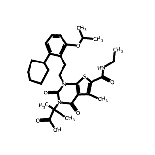 CCNC(=O)c1sc2c(c1C)c(=O)n(C(C)(C)C(=O)O)c(=O)n2CCc1c(OC(C)C)cccc1C1CCCCC1